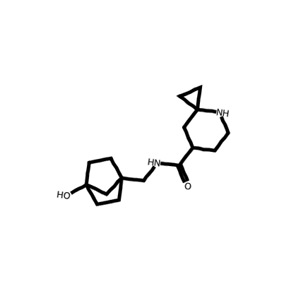 O=C(NCC12CCC(O)(CC1)C2)C1CCNC2(CC2)C1